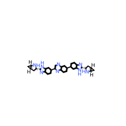 c1cc2nc(-c3ccc4nc([C@@H]5C[C@H]6C[C@H]6N5)[nH]c4c3)cnc2cc1-c1ccc2nc([C@@H]3C[C@H]4C[C@H]4N3)[nH]c2c1